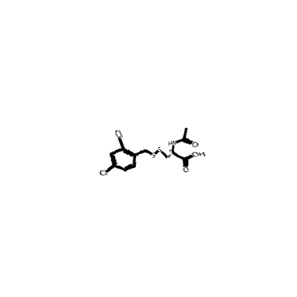 CC(=O)N[C@@H](CSSCc1ccc(Cl)cc1Cl)C(=O)O